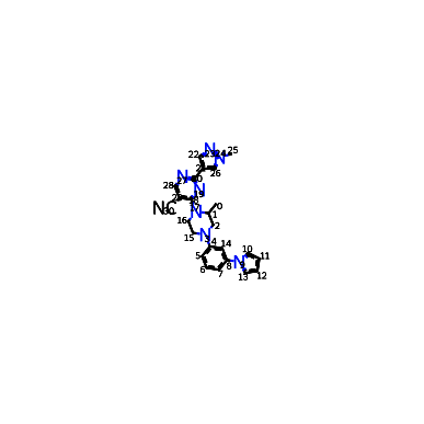 CC1CN(c2cccc(-n3cccc3)c2)CCN1c1nc(-c2cnn(C)c2)ncc1C#N